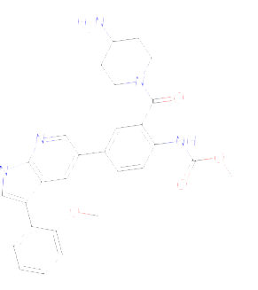 COC(=O)Nc1ccc(-c2cnc3[nH]cc(-c4ccccc4OC)c3c2)cc1C(=O)N1CCC(N)CC1